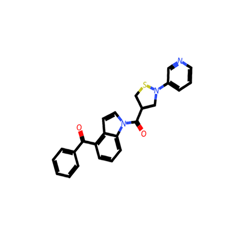 O=C(c1ccccc1)c1cccc2c1ccn2C(=O)C1CSN(c2cccnc2)C1